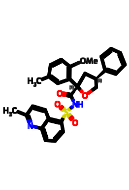 COc1ccc(C)cc1[C@]1(C(=O)NS(=O)(=O)c2cccc3nc(C)ccc23)C[C@@H](c2ccccc2)CO1